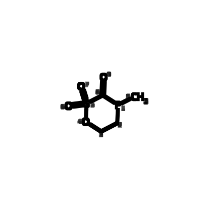 CP1CCOS(=O)(=O)C1=O